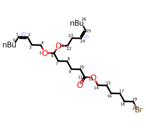 CCCC/C=C\CCOC(CCCCC(=O)OCCCCCCBr)OCC/C=C\CCCC